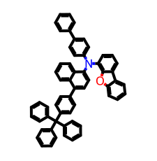 c1ccc(-c2ccc(N(c3ccc(-c4ccc(C(c5ccccc5)(c5ccccc5)c5ccccc5)cc4)c4ccccc34)c3cccc4c3oc3ccccc34)cc2)cc1